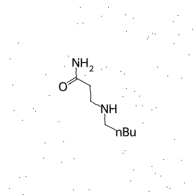 CCCCCNCCC(N)=O